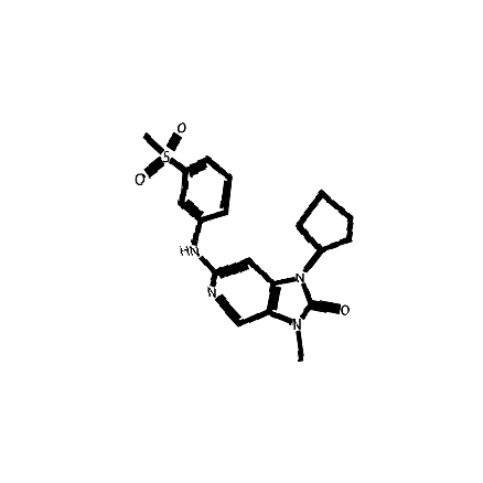 Cn1c(=O)n(C2CCCC2)c2cc(Nc3cccc(S(C)(=O)=O)c3)ncc21